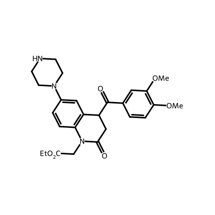 CCOC(=O)CN1C(=O)CC(C(=O)c2ccc(OC)c(OC)c2)c2cc(N3CCNCC3)ccc21